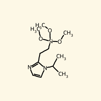 CO[Si](CCc1nccn1C(C)C)(OC)OC